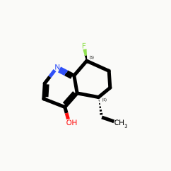 CC[C@H]1CC[C@H](F)c2nccc(O)c21